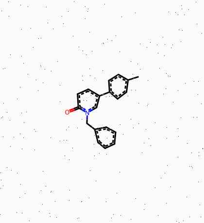 Cc1ccc(-c2ccc(=O)n(Cc3ccccc3)c2)cc1